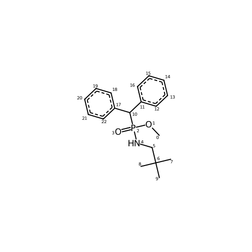 COP(=O)(NCC(C)(C)C)C(c1ccccc1)c1ccccc1